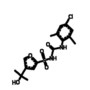 Cc1cc(Cl)cc(C)c1NC(=O)NS(=O)(=O)c1cc(C(C)(C)O)co1